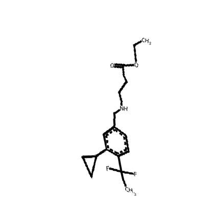 CCOC(=O)CCNCc1ccc(C(C)(F)F)c(C2CC2)c1